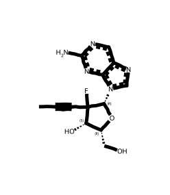 CC#CC1(F)[C@@H](O)[C@@H](CO)O[C@H]1n1cnc2cnc(N)nc21